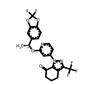 C[C@H](Oc1cc(-n2nc(C(F)(F)F)c3c2C(=O)CCC3)ccn1)c1ccc2c(c1)OC(F)(F)O2